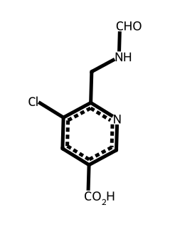 O=CNCc1ncc(C(=O)O)cc1Cl